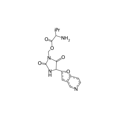 CC(C)C(N)C(=O)OCN1C(=O)NC(c2cc3cnccc3o2)C1=O